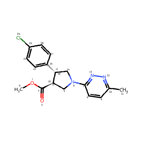 COC(=O)[C@@H]1CN(c2ccc(C)nn2)C[C@H]1c1ccc(Cl)cc1